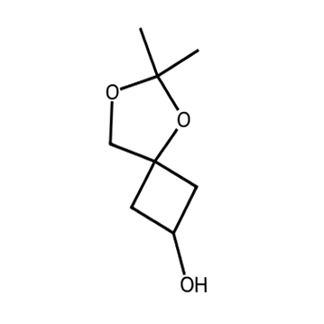 CC1(C)OCC2(CC(O)C2)O1